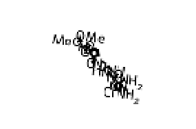 COC(CN(C)S(=O)(=O)c1cccc(C(=O)N2CCC3(CC2)CN/C(=N\C(=O)c2nc(Cl)c(N)nc2N)N3)c1)OC